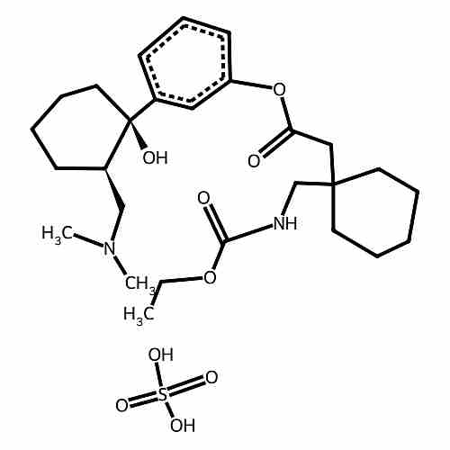 CCOC(=O)NCC1(CC(=O)Oc2cccc([C@@]3(O)CCCC[C@@H]3CN(C)C)c2)CCCCC1.O=S(=O)(O)O